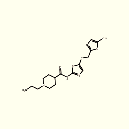 CC(C)(C)c1cnc(CSc2cnc(NC(=O)C3CCN(CCN)CC3)s2)o1